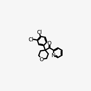 O=C(c1ccccn1)C1(c2ccc(Cl)c(Cl)c2)CCOCC1